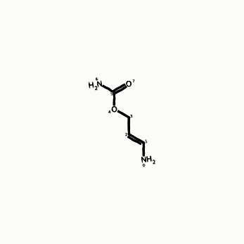 NC=CCOC(N)=O